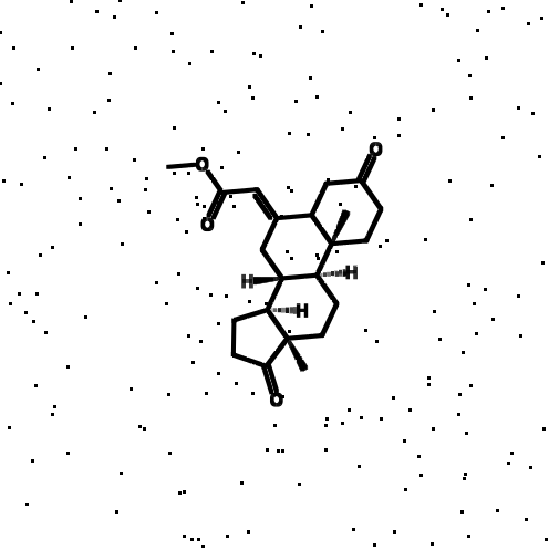 COC(=O)C=C1C[C@@H]2[C@H](CC[C@]3(C)C(=O)CC[C@@H]23)[C@@]2(C)CCC(=O)CC12